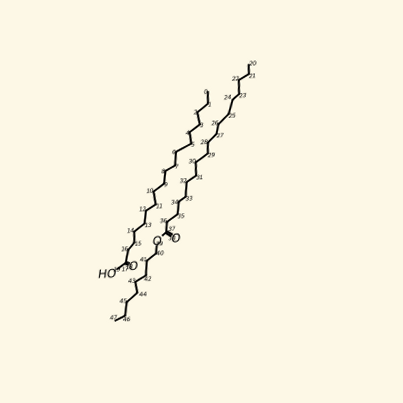 CCCCCCCCCCCCCCCCCC(=O)O.CCCCCCCCCCCCCCCCCC(=O)OCCCCCCCC